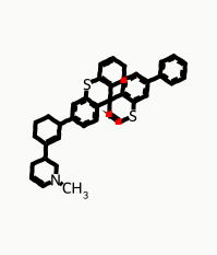 CN1C=CCC(C2=CC(c3ccc4c(c3)SC3=C(CCC=C3)C43C4=CC=CCC4Sc4cc(-c5ccccc5)ccc43)CCC2)C1